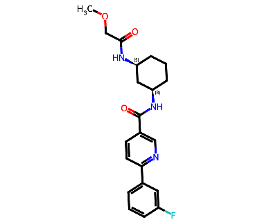 COCC(=O)N[C@H]1CCC[C@@H](NC(=O)c2ccc(-c3cccc(F)c3)nc2)C1